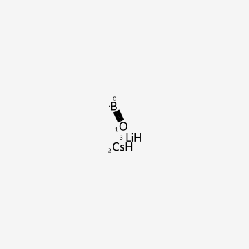 [B]=O.[CsH].[LiH]